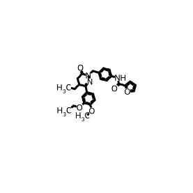 CCOc1cc(C2=NN(Cc3ccc(NC(=O)c4ccco4)cc3)C(=O)CC2CC)ccc1OC